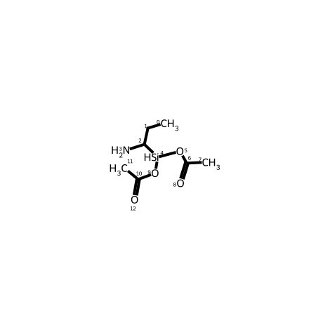 CCC(N)[SiH](OC(C)=O)OC(C)=O